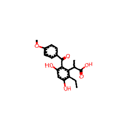 CCc1c(O)cc(O)c(C(=O)c2ccc(OC)cc2)c1C(C)C(=O)O